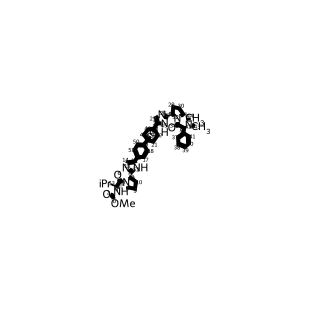 COC(=O)N[C@H](C(=O)N1CCC[C@H]1c1ncc(-c2ccc(C34CCC(c5cnc([C@@H]6CCCN6C(=O)[C@@H](c6ccccc6)N(C)C)[nH]5)(CC3)CC4)cc2)[nH]1)C(C)C